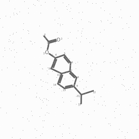 CC(=O)Oc1ccc2cc(C(C)C)ccc2c1